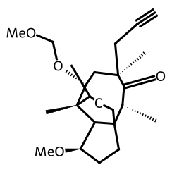 C#CC[C@]1(C)C[C@@H](OCOC)[C@]2(C)C(C)CCC3(CC[C@@H](OC)C32)[C@@H](C)C1=O